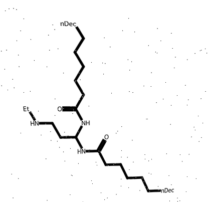 CCCCCCCCCCCCCCCC(=O)NC(CCNCC)NC(=O)CCCCCCCCCCCCCCC